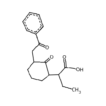 CCC(C(=O)O)C1CCCC(CC(=O)c2ccccc2)C1=O